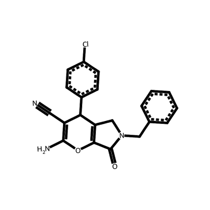 N#CC1=C(N)OC2=C(CN(Cc3ccccc3)C2=O)C1c1ccc(Cl)cc1